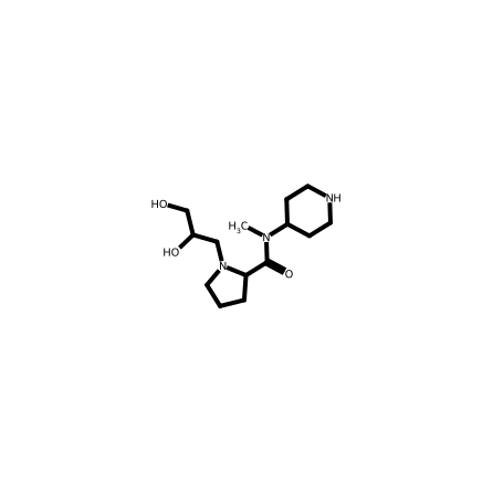 CN(C(=O)C1CCCN1CC(O)CO)C1CCNCC1